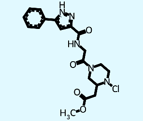 COC(=O)CC1CN(C(=O)CNC(=O)c2cc(-c3ccccc3)[nH]n2)CCN1Cl